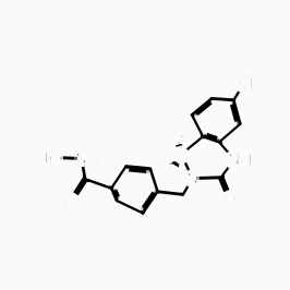 O=C(NO)c1ccc(CN2C(=O)Nc3cc(Cl)ccc3S2(=O)=O)cc1